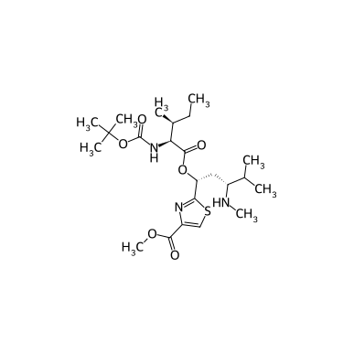 CC[C@H](C)[C@H](NC(=O)OC(C)(C)C)C(=O)O[C@H](C[C@@H](NC)C(C)C)c1nc(C(=O)OC)cs1